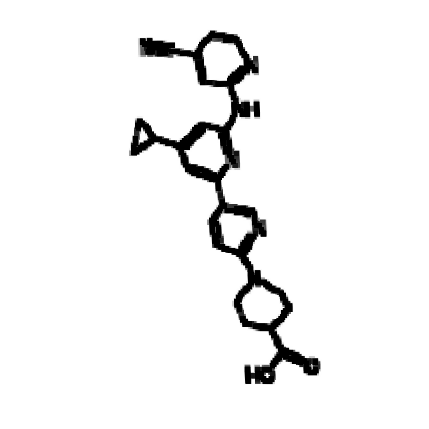 N#Cc1ccnc(Nc2cc(C3CC3)cc(-c3ccc(N4CCC(C(=O)O)CC4)nc3)n2)c1